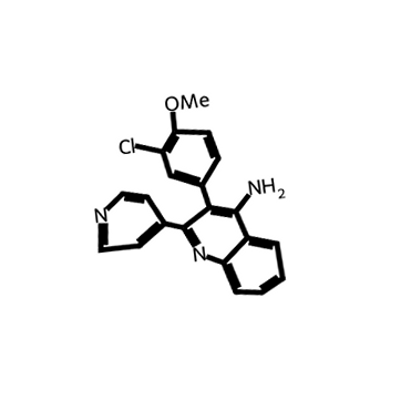 COc1ccc(-c2c(-c3ccncc3)nc3ccccc3c2N)cc1Cl